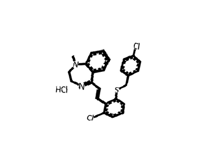 CN1CCN=C(/C=C/c2c(Cl)cccc2SCc2ccc(Cl)cc2)c2ccccc21.Cl